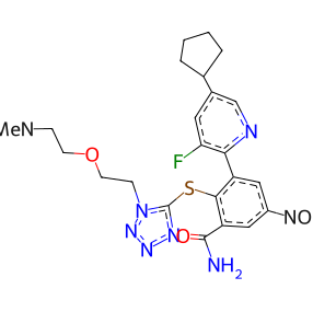 CNCCOCCn1nnnc1Sc1c(C(N)=O)cc([N+](=O)[O-])cc1-c1ncc(C2CCCC2)cc1F